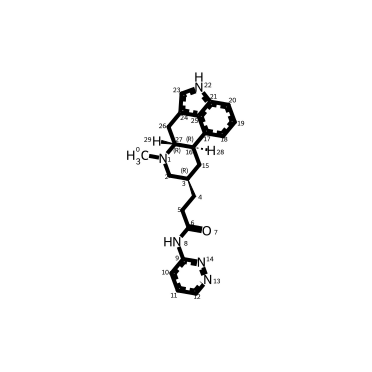 CN1C[C@H](CCC(=O)Nc2cccnn2)C[C@@H]2c3cccc4[nH]cc(c34)C[C@H]21